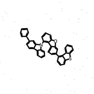 c1ccc(-c2ccc3c4ccccc4n(-c4cccc5oc6cc(-c7cccc8sc9ccccc9c78)ccc6c45)c3c2)cc1